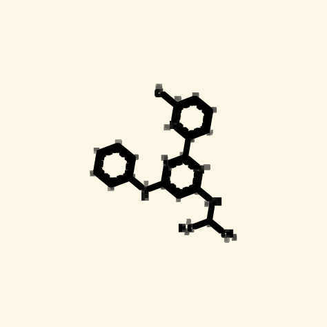 CC(C)Nc1cc(Nc2ccccc2)nc(-c2cccc(Cl)n2)n1